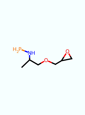 CC(COCC1CO1)NP